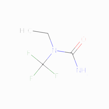 CCN(C(N)=O)C(F)(F)F